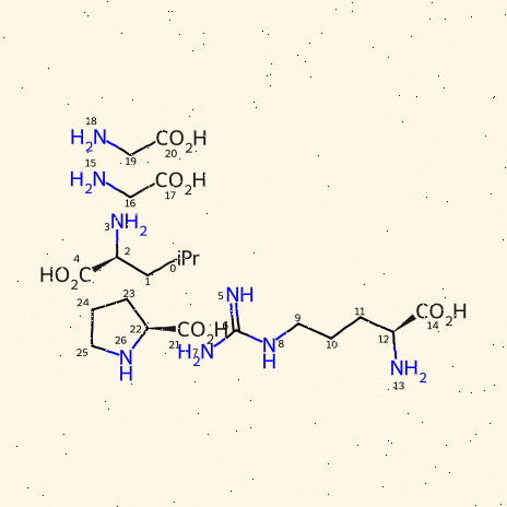 CC(C)C[C@H](N)C(=O)O.N=C(N)NCCC[C@H](N)C(=O)O.NCC(=O)O.NCC(=O)O.O=C(O)[C@@H]1CCCN1